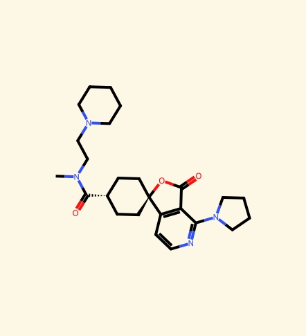 CN(CCN1CCCCC1)C(=O)[C@H]1CC[C@@]2(CC1)OC(=O)c1c(N3CCCC3)nccc12